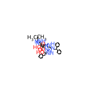 CC(C)c1nnc([C@H]2O[C@@H](n3cnc4c(NCC(c5ccccc5)c5ccccc5)nc(N[C@H](CO)Cc5ccccc5)nc43)[C@H](OC=O)[C@@H]2O)[nH]1